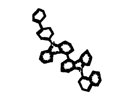 C1=CCCC(C2=CC=C(n3c4ccccc4c4c(-c5cccc6c5c5ccccc5n6C5=c6ccccc6=CCC5)cccc43)CC2)=C1